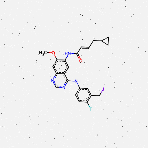 COc1cc2ncnc(Nc3ccc(F)c(CI)c3)c2cc1NC(=O)/C=C/CC1CC1